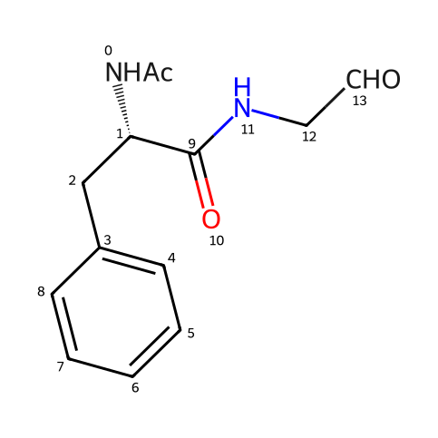 CC(=O)N[C@@H](Cc1ccccc1)C(=O)NCC=O